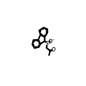 CC(=O)C[S+]([O-])C1c2ccccc2-c2ccccc21